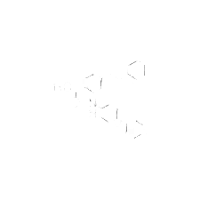 O=C(O)c1ccc(CCc2ccccc2)cc1Nc1ccc(-c2ccccc2)cc1